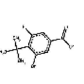 BC(B)(B)c1c(F)cc([N+](=O)[O-])cc1Br